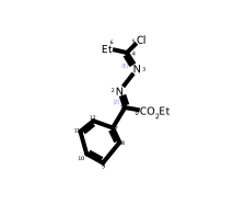 CCOC(=O)/C(=N\N=C(\Cl)CC)c1ccccc1